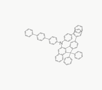 c1ccc(-c2ccc(-c3ccc(N(c4ccc(-c5ccccc5)cc4)c4cc5ccccc5c5c4-c4cc(-c6ccccc6)ccc4C5(c4ccccc4)c4ccccc4)cc3)cc2)cc1